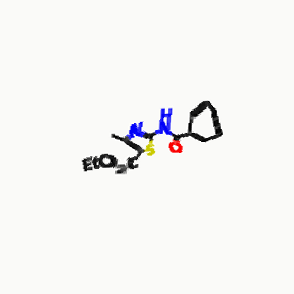 CCOC(=O)c1sc(NC(=O)c2ccccc2)nc1C